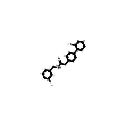 O=C(Cc1ccc(-c2ccccc2F)cc1)NCc1cccc(F)c1